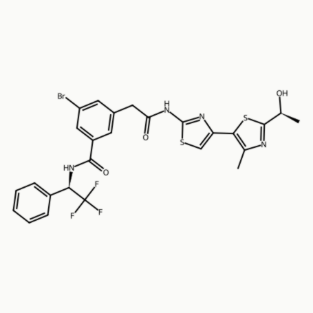 Cc1nc([C@H](C)O)sc1-c1csc(NC(=O)Cc2cc(Br)cc(C(=O)N[C@H](c3ccccc3)C(F)(F)F)c2)n1